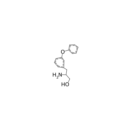 NC(CO)Cc1cccc(Oc2ccccc2)c1